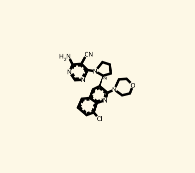 N#Cc1c(N)ncnc1N1CCC[C@H]1c1cc2cccc(Cl)c2nc1N1CCOCC1